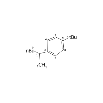 CCCCC(C)c1ccc(C(C)(C)C)cc1